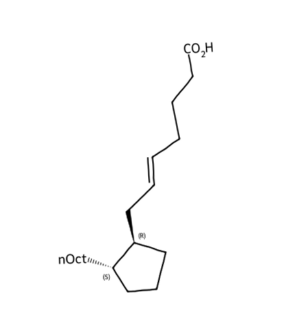 CCCCCCCC[C@H]1CCC[C@@H]1CC=CCCCC(=O)O